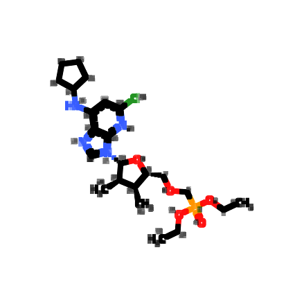 CCOP(=O)(COC[C@H]1O[C@@H](n2cnc3c(NC4CCCC4)cc(Cl)nc32)[C@H](C)[C@@H]1C)OCC